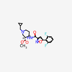 COC(=O)[C@@H]1CN(CC2CC2)CC[C@H]1NC(=O)c1cc(-c2c(F)cccc2F)on1